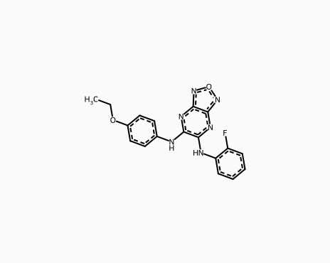 CCOc1ccc(Nc2nc3nonc3nc2Nc2ccccc2F)cc1